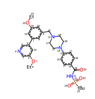 CCOc1cncc(-c2cc(CN3CCN(c4ccc(C(=O)NS(=O)(=O)C(C)(C)C)cc4)CC3)cc(OCC)c2)c1